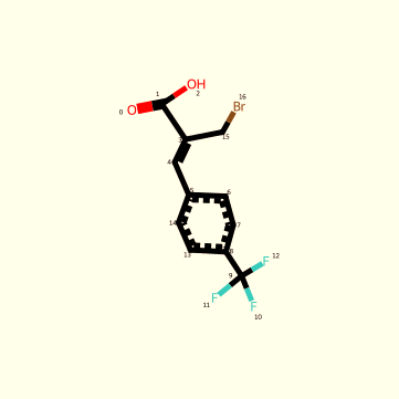 O=C(O)C(=Cc1ccc(C(F)(F)F)cc1)CBr